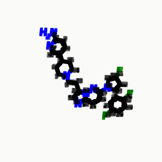 Nc1ccc(C2CCN(/C=C/c3cnc4ccc(N5C[C@@H](F)C[C@@H]5c5cc(F)ccc5F)nn34)CC2)cn1